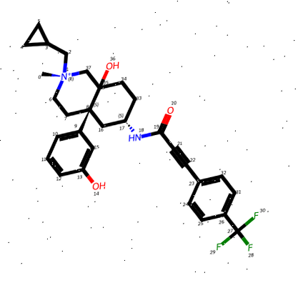 C[N@+]1(CC2CC2)CC[C@@]2(c3cccc(O)c3)C[C@@H](NC(=O)C#Cc3ccc(C(F)(F)F)cc3)CCC2(O)C1